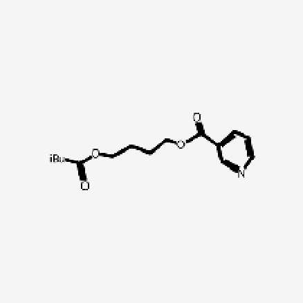 CCC(C)C(=O)OCCCCOC(=O)c1cccnc1